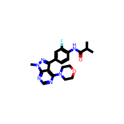 CC(C)C(=O)Nc1ccc(-c2nn(C)c3ncnc(N4CCOCC4)c23)cc1F